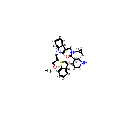 COCCCn1cc(CN(C(=O)[C@H]2CNCC[C@@H]2c2csc3ccccc23)C2CC2)c2ccccc21